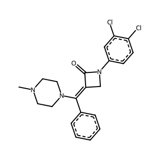 CN1CCN(C(=C2CN(c3ccc(Cl)c(Cl)c3)C2=O)c2ccccc2)CC1